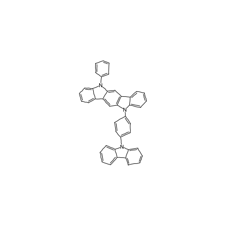 c1ccc(-n2c3ccccc3c3cc4c(cc32)c2ccccc2n4-c2ccc(-n3c4ccccc4c4ccccc43)cc2)cc1